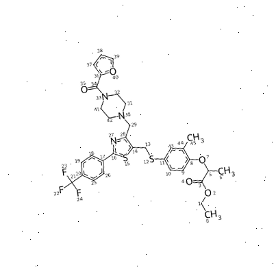 CCOC(=O)C(C)Oc1ccc(SCc2sc(-c3ccc(C(F)(F)F)cc3)nc2CN2CCN(C(=O)c3ccco3)CC2)cc1C